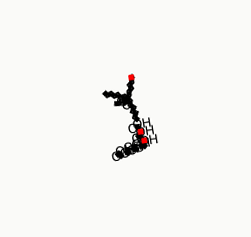 CC(=O)O.CC(=O)O.CC(=O)O.CC(=O)O.CC(=O)O.CC(=O)O.CCCCCCCC(CCCCCCC)(CCCCCCC)C(=O)OCC